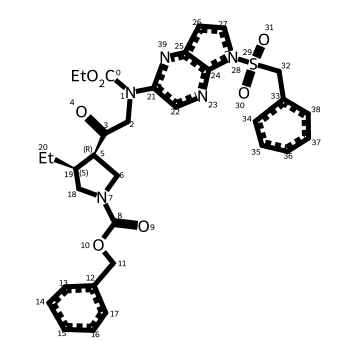 CCOC(=O)N(CC(=O)[C@H]1CN(C(=O)OCc2ccccc2)C[C@H]1CC)c1cnc2c(ccn2S(=O)(=O)Cc2ccccc2)n1